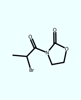 CC(Br)C(=O)N1CCOC1=O